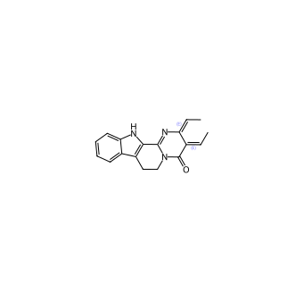 C/C=c1/nc2n(c(=O)/c1=C/C)CCc1c-2[nH]c2ccccc12